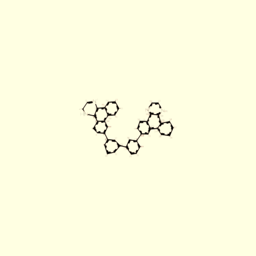 C1=Nc2c(c3ccc(-c4cccc(-c5cccc(-c6ccc7c(c6)c6ccccc6c6nccnc76)c5)c4)cc3c3ccccc23)NC1